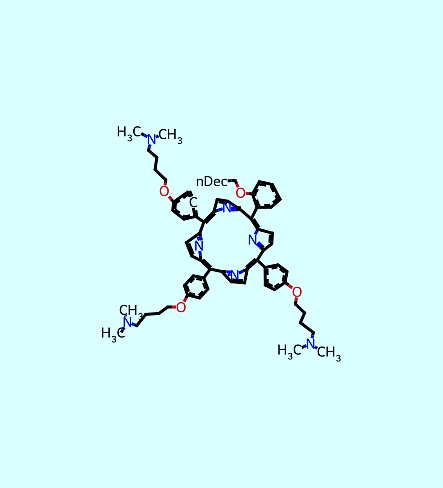 CCCCCCCCCCCOc1ccccc1C1=C2C=CC(=N2)C(c2ccc(OCCCCN(C)C)cc2)=C2C=CC(=N2)C(c2ccc(OCCCCN(C)C)cc2)=C2C=CC(=N2)C(c2ccc(OCCCCN(C)C)cc2)=C2C=CC1=N2